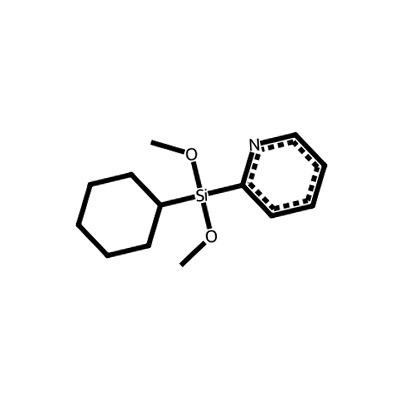 CO[Si](OC)(c1ccccn1)C1CCCCC1